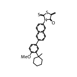 C=C1SC(=S)N(c2ccc3cc(-c4ccc(OC)c(C5(C)CCCCC5)c4)ccc3c2)C1=O